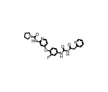 O=C(Cc1ccccn1)NC(=O)Nc1ccc(Oc2ccnc(NC(=O)N3CCCC3)c2)c(F)c1